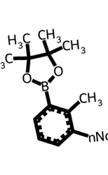 CCCCCCCCCc1cccc(B2OC(C)(C)C(C)(C)O2)c1C